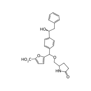 O=C1CCC(COC(c2ccc([C@@H](O)Cc3ccccc3)cc2)c2ccc(C(=O)O)o2)N1